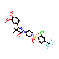 COc1ccc(C2=NN(C3CCN(S(=O)(=O)c4ccc(C(F)(F)F)cc4Cl)CC3)C(=O)C2(C)C)cc1OC